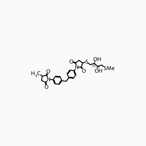 CSC[C@H](O)[C@H](O)CSC1CC(=O)N(c2ccc(Cc3ccc(N4C(=O)CC(C)C4=O)cc3)cc2)C1=O